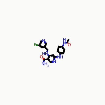 CC(=O)Nc1ccc(Nc2cc(NCc3cncc(F)c3)c(C(N)=O)cn2)cc1